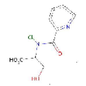 O=C(O)C(CO)N(Cl)C(=O)c1ccccn1